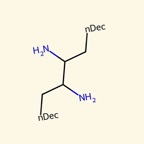 CCCCCCCCCCCC(N)C(N)CCCCCCCCCCC